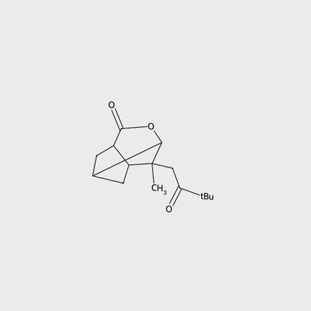 CC(C)(C)C(=O)CC1(C)C2CC3CC2C(=O)OC31